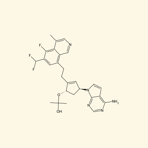 Cc1cncc2c(CCC3=C[C@@H](n4ccc5c(N)ncnc54)C[C@@H]3OC(C)(C)O)cc(C(F)F)c(F)c12